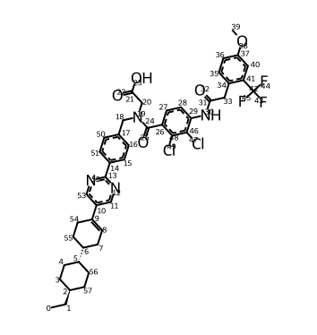 CC[C@H]1CC[C@H](C2CC=C(c3cnc(-c4ccc(CN(CC(=O)O)C(=O)c5ccc(NC(=O)Cc6ccc(OC)cc6C(F)(F)F)c(Cl)c5Cl)cc4)nc3)CC2)CC1